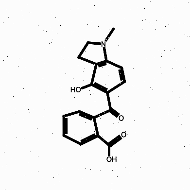 CN1CCc2c1ccc(C(=O)c1ccccc1C(=O)O)c2O